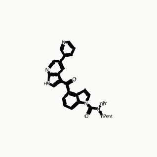 CCCCCN(CCC)C(=O)n1ccc2c(C(=O)c3c[nH]c4ncc(-c5cccnc5)cc34)cccc21